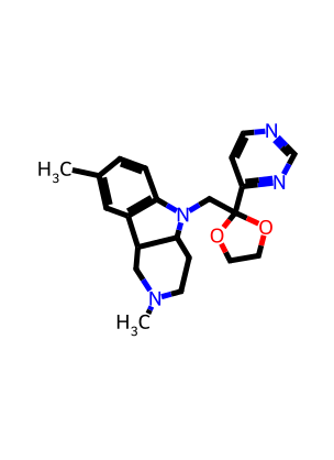 Cc1ccc2c(c1)C1CN(C)CCC1N2CC1(c2ccncn2)OCCO1